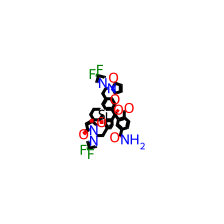 NC(=O)c1ccc2c(c1)C1(OC2=O)c2ccc(CC(N3CC(F)(F)C3)N3C(=O)C=CC3=O)cc2[Si]2(CCCCC2)c2cc(CC(N3CC(F)(F)C3)N3C(=O)C=CC3=O)ccc21